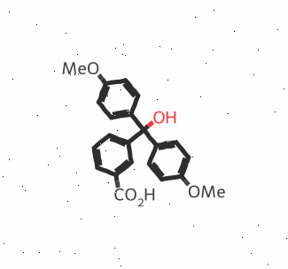 COc1ccc(C(O)(c2ccc(OC)cc2)c2cccc(C(=O)O)c2)cc1